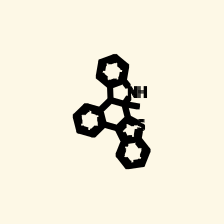 CC12Nc3ccccc3C1c1ccccc1-c1c2sc2ccccc12